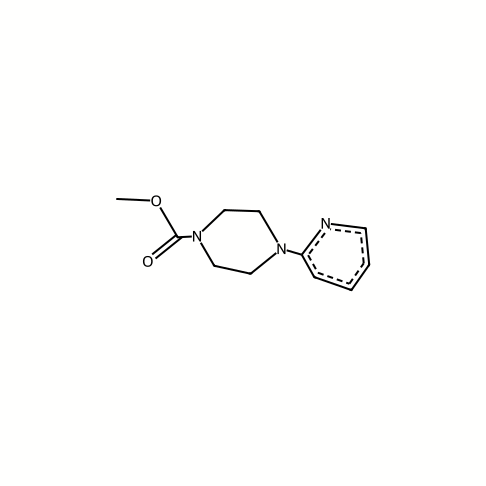 COC(=O)N1CCN(c2ccccn2)CC1